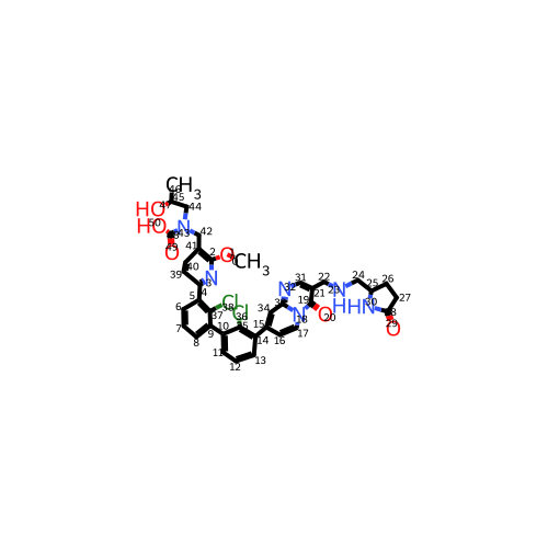 COc1nc(-c2cccc(-c3cccc(-c4ccn5c(=O)c(CNCC6CCC(=O)N6)cnc5c4)c3Cl)c2Cl)ccc1CN(CC(C)O)C(=O)O